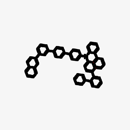 c1ccc(-c2ccccc2-c2ccc(N(c3ccc(-c4ccc(-c5cccc(-c6ccc7ccccc7c6)c5)cc4)cc3)c3ccccc3-c3ccccc3)cc2)cc1